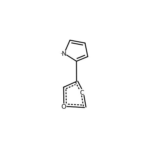 C1=C[N]C(c2ccoc2)=C1